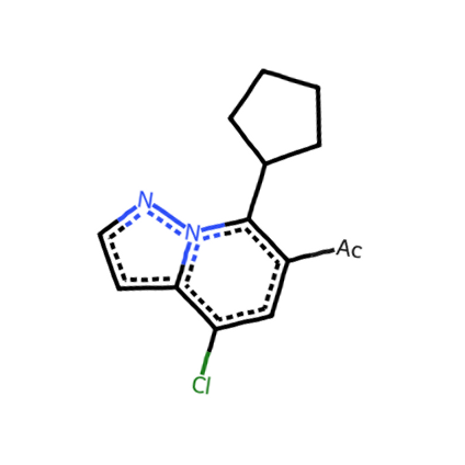 CC(=O)c1cc(Cl)c2ccnn2c1C1CCCC1